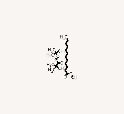 CC(C)(C)OOC(=O)C(C)(C)C.CCCCCCCCCCCC(=O)OO